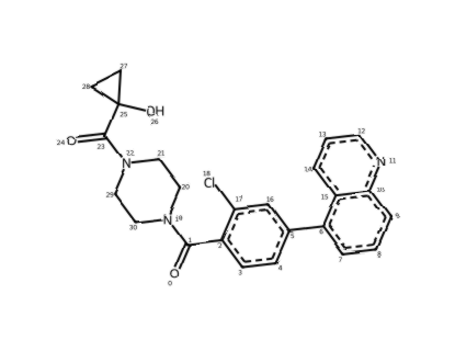 O=C(c1ccc(-c2cccc3ncccc23)cc1Cl)N1CCN(C(=O)C2(O)CC2)CC1